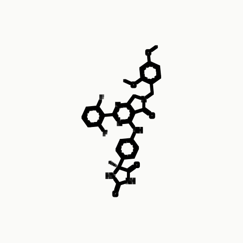 COc1ccc(CN2Cc3nc(-c4c(F)cccc4F)nc(Nc4ccc([C@]5(C)NC(=O)NC5=O)cc4)c3C2=O)c(OC)c1